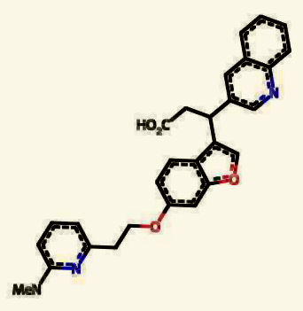 CNc1cccc(CCOc2ccc3c(C(CC(=O)O)c4cnc5ccccc5c4)coc3c2)n1